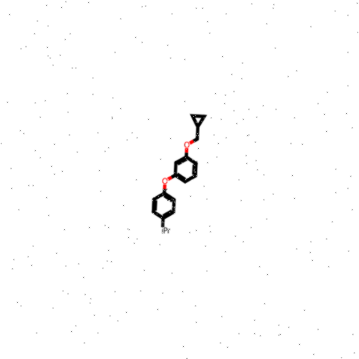 CC(C)c1ccc(Oc2cccc(OCC3CC3)c2)cc1